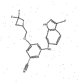 N#Cc1cc(OCC2CC(F)(F)C2)cc(Nc2ccc3c(F)c[nH]c3c2)n1